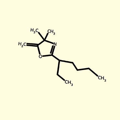 C=C1OC(C(CC)CCCC)=NC1(C)C